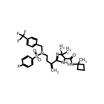 C=C(CCN(Cc1ccc(C(F)(F)F)cc1)S(=O)(=O)c1ccc(F)cc1)C1=NC(C)(C)C(C(=O)NC2(C)CCC2)N1